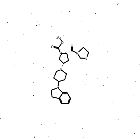 CC(C)(C)OC(=O)N1C[C@@H](N2CCC(N3CCc4ccccc43)CC2)C[C@H]1C(=O)N1CCSC1